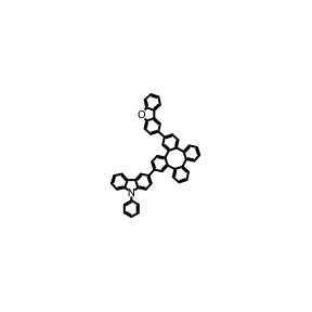 c1ccc(-n2c3ccccc3c3cc(-c4ccc5c(c4)-c4ccccc4-c4ccccc4-c4ccc(-c6ccc7oc8ccccc8c7c6)cc4-5)ccc32)cc1